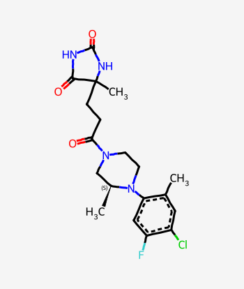 Cc1cc(Cl)c(F)cc1N1CCN(C(=O)CCC2(C)NC(=O)NC2=O)C[C@@H]1C